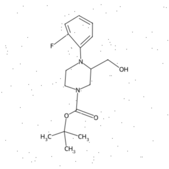 CC(C)(C)OC(=O)N1CCN(c2ccccc2F)C(CO)C1